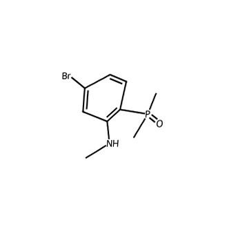 CNc1cc(Br)ccc1P(C)(C)=O